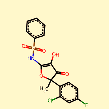 CC1(c2ccc(F)cc2Cl)OC(NS(=O)(=O)c2ccccc2)=C(O)C1=O